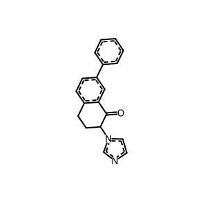 O=C1c2cc(-c3ccccc3)ccc2CCC1n1ccnc1